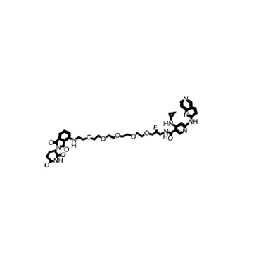 O=C1CCC(N2C(=O)c3cccc(NCCOCCOCCOCCOCCOCC(F)CNC(=O)c4cnc(Nc5ccc6cnccc6n5)cc4NC4CC4)c3C2=O)C(=O)N1